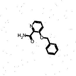 NC(=O)c1ncccc1OCc1ccccc1